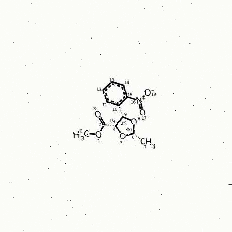 COC(=O)[C@H]1O[C@@H](C)O[C@H]1c1ccccc1[N+](=O)[O-]